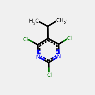 [CH2]C(C)c1c(Cl)nc(Cl)nc1Cl